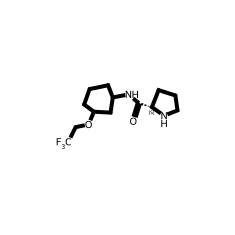 O=C(NC1CCCC(OCC(F)(F)F)C1)[C@@H]1CCCN1